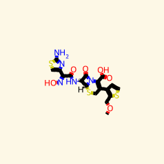 COCc1sccc1C1=C(C(=O)O)N2C(=O)[C@@H](NC(=O)C(=NO)c3csc(N)n3)[C@@H]2SC1